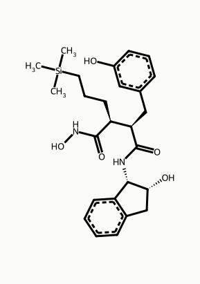 C[Si](C)(C)CCC[C@H](C(=O)NO)[C@@H](Cc1cccc(O)c1)C(=O)N[C@H]1c2ccccc2C[C@H]1O